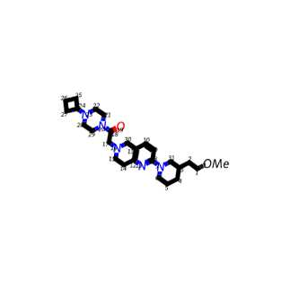 COCCC1CCCN(c2ccc3c(n2)CCN(CC(=O)N2CCN(C4CCC4)CC2)C3)C1